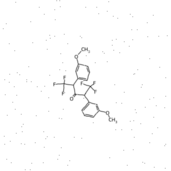 COc1cccc(C(C(=O)C(c2cccc(OC)c2)C(F)(F)F)C(F)(F)F)c1